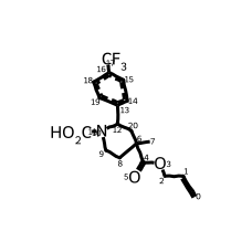 C=CCOC(=O)C1(C)CCN(C(=O)O)C(c2ccc(C(F)(F)F)cc2)C1